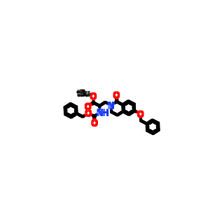 CC(C)(C)OC(=O)C(CN1CCc2cc(OCc3ccccc3)ccc2C1=O)NC(=O)OCc1ccccc1